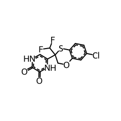 O=c1[nH]cc(C2(C(F)F)COc3cc(Cl)ccc3S2)[nH]c1=O